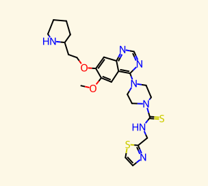 COc1cc2c(N3CCN(C(=S)NCc4nccs4)CC3)ncnc2cc1OCCC1CCCCN1